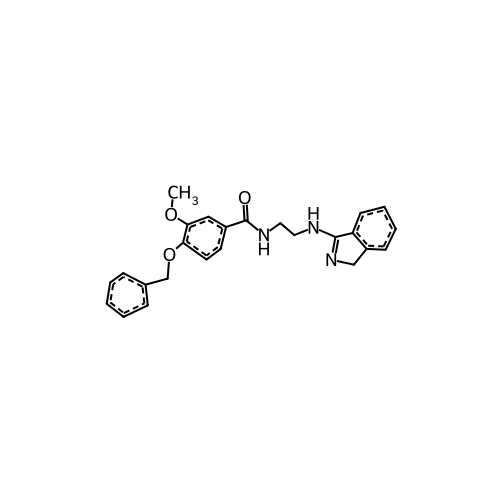 COc1cc(C(=O)NCCNC2=NCc3ccccc32)ccc1OCc1ccccc1